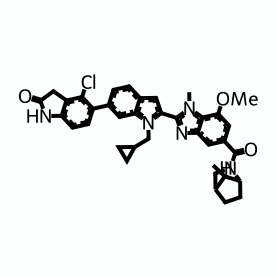 COc1cc(C(=O)N2CC3CCC2[C@@H]3C)cc2nc(-c3cc4ccc(-c5ccc6c(c5Cl)CC(=O)N6)cc4n3CC3CC3)n(C)c12